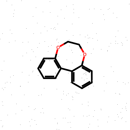 [c]1cccc2c1-c1[c]cccc1OCCO2